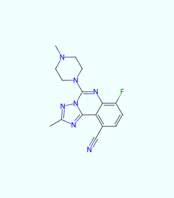 Cc1nc2c3c(C#N)ccc(F)c3nc(N3CCN(C)CC3)n2n1